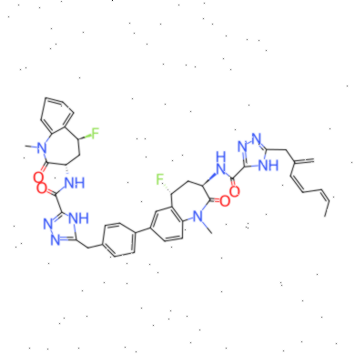 C=C(/C=C\C=C/C)Cc1nnc(C(=O)N[C@@H]2C[C@@H](F)c3cc(-c4ccc(Cc5nnc(C(=O)N[C@H]6C[C@H](F)c7ccccc7N(C)C6=O)[nH]5)cc4)ccc3N(C)C2=O)[nH]1